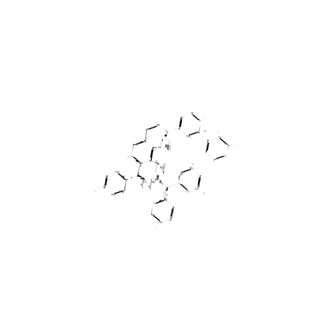 c1ccc(-c2cccc(-c3ccc4ccc5c(-c6ccccc6)nc(C(c6ccccc6)c6ccccc6)nc5c4n3)c2)cc1